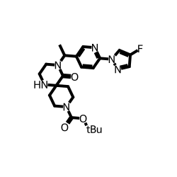 CC(c1ccc(-n2cc(F)cn2)nc1)N1CCNC2(CCN(C(=O)OC(C)(C)C)CC2)C1=O